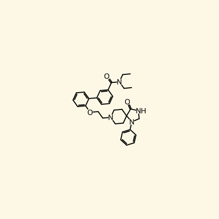 CCN(CC)C(=O)c1cccc(-c2ccccc2OCCN2CCC3(CC2)C(=O)NCN3c2ccccc2)c1